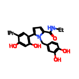 CCNC(=O)c1ccc(-c2cc(C(C)C)c(O)cc2O)n1Cc1ccc(O)c(O)c1